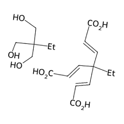 CCC(C=CC(=O)O)(C=CC(=O)O)C=CC(=O)O.CCC(CO)(CO)CO